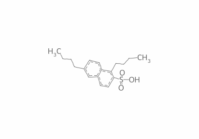 CCCCc1ccc2c(CCCC)c(S(=O)(=O)O)ccc2c1